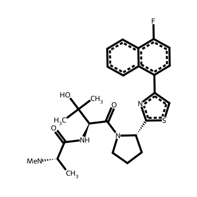 CN[C@@H](C)C(=O)N[C@H](C(=O)N1CCC[C@H]1c1nc(-c2ccc(F)c3ccccc23)cs1)C(C)(C)O